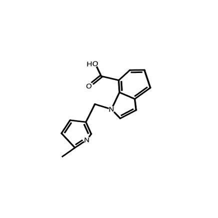 Cc1ccc(Cn2ccc3cccc(C(=O)O)c32)cn1